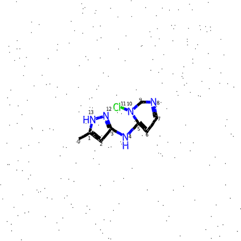 Cc1cc(NC2=CC=NCN2Cl)n[nH]1